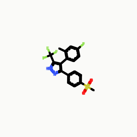 Cc1cc(F)ccc1-c1c(-c2ccc(S(C)(=O)=O)cc2)n[nH]c1C(F)(F)F